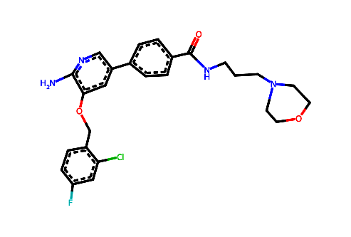 Nc1ncc(-c2ccc(C(=O)NCCCN3CCOCC3)cc2)cc1OCc1ccc(F)cc1Cl